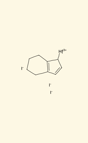 [Hf+3][CH]1C=CC2=C1CCCC2.[I-].[I-].[I-]